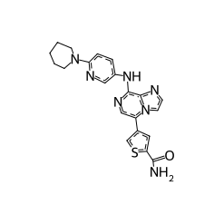 NC(=O)c1cc(-c2cnc(Nc3ccc(N4CCCCC4)nc3)c3nccn23)cs1